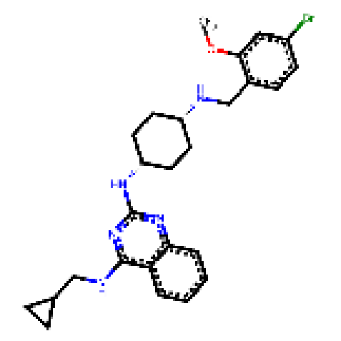 FC(F)(F)Oc1cc(Br)ccc1CN[C@H]1CC[C@@H](Nc2nc(NCC3CC3)c3ccccc3n2)CC1